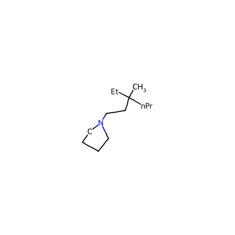 CCCC(C)(CC)CCN1CCCC1